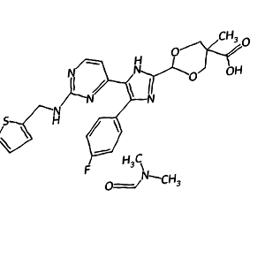 CC1(C(=O)O)COC(c2nc(-c3ccc(F)cc3)c(-c3ccnc(NCc4cccs4)n3)[nH]2)OC1.CN(C)C=O